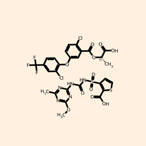 COc1nc(C)nc(NC(=O)NS(=O)(=O)c2ccsc2C(=O)O)n1.C[C@H](OC(=O)c1cc(Oc2ccc(C(F)(F)F)cc2Cl)ccc1Cl)C(=O)O